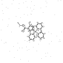 CCOC(=O)c1nn(C(c2ccccc2)(c2ccccc2)c2ccccc2)nc1C